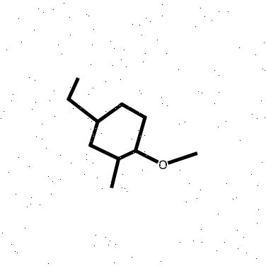 CCC1CCC(OC)C(C)C1